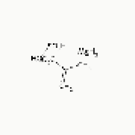 C=C(C)C(=O)O.O=S(=O)(O)O.[MgH2]